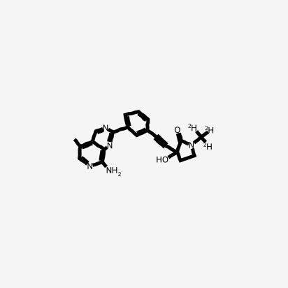 [2H]C([2H])([2H])N1CCC(O)(C#Cc2cccc(-c3ncc4c(C)cnc(N)c4n3)c2)C1=O